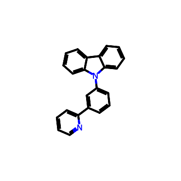 c1ccc(-c2cccc(-n3c4ccccc4c4ccccc43)c2)nc1